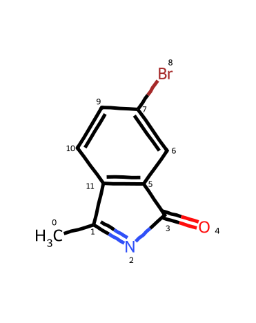 CC1=NC(=O)c2cc(Br)ccc21